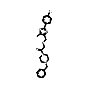 CCc1ccc(-c2nc(CSCC(=O)N3CCN(Cc4ccccc4)CC3)c(C)o2)cc1